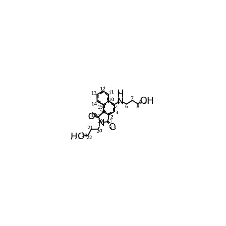 O=C1c2cc(NCCCO)c3ccccc3c2C(=O)N1CCCO